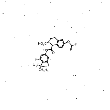 C[Si](C)(C)c1c(F)cc(NC(=O)C2c3ccc(OC(F)F)cc3CCN2C(=O)O)cc1F